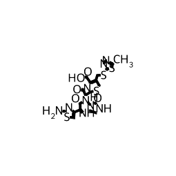 Cc1nnc(SCC2=C(C(=O)O)N3C(=O)C(N(C(=O)C(=N)c4csc(N)n4)N4CCNC4=O)[C@@H]3SC2)s1